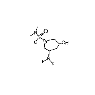 CN(C)S(=O)(=O)N1CC(O)CC(N(F)F)C1